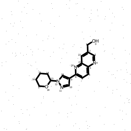 OCc1cnc2ccc(-c3cnn(C4CCCCO4)c3)nc2c1